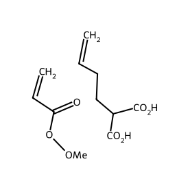 C=CC(=O)OOC.C=CCCC(C(=O)O)C(=O)O